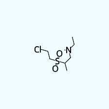 CC[N]CC(C)S(=O)(=O)CCCl